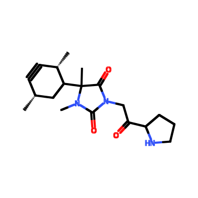 C[C@@H]1C#C[C@H](C)C(C2(C)C(=O)N(CC(=O)C3CCCN3)C(=O)N2C)C1